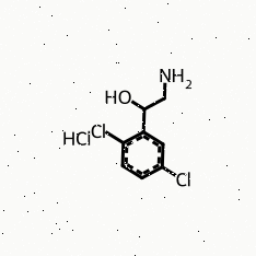 Cl.NCC(O)c1cc(Cl)ccc1Cl